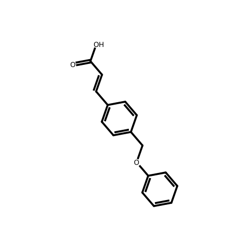 O=C(O)C=Cc1ccc(COc2ccccc2)cc1